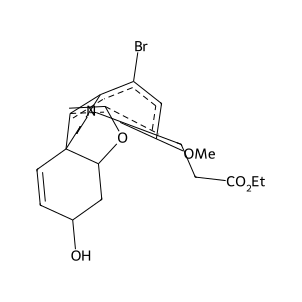 CCOC(=O)CCN1CCC23C=CC(O)CC2Oc2c(OC)cc(Br)c(c23)C1